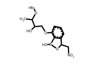 CCCCOC(C)C(O)COc1cccc2c1B(O)OC2C[N+](=O)[O-]